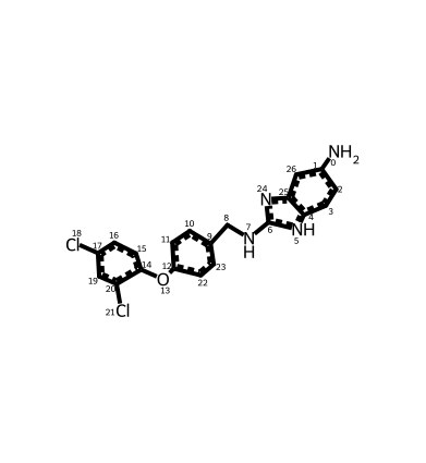 Nc1ccc2[nH]c(NCc3ccc(Oc4ccc(Cl)cc4Cl)cc3)nc2c1